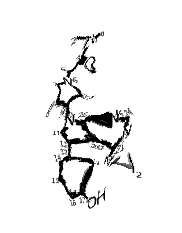 CN(C)C(=O)CN1CCC(n2cc(-c3cccc(O)c3)c3c(N)ncnc32)C1